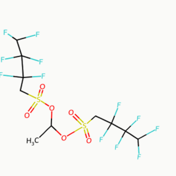 CC(OS(=O)(=O)CC(F)(F)C(F)(F)C(F)F)OS(=O)(=O)CC(F)(F)C(F)(F)C(F)F